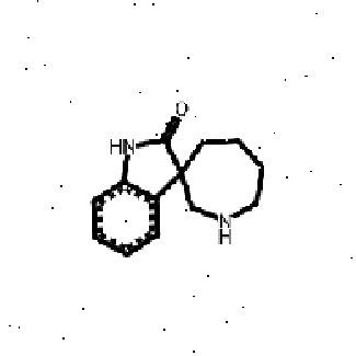 O=C1Nc2ccccc2C12CCCCNC2